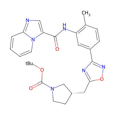 Cc1ccc(-c2noc(C[C@@H]3CCN(C(=O)OC(C)(C)C)C3)n2)cc1NC(=O)c1cnc2ccccn12